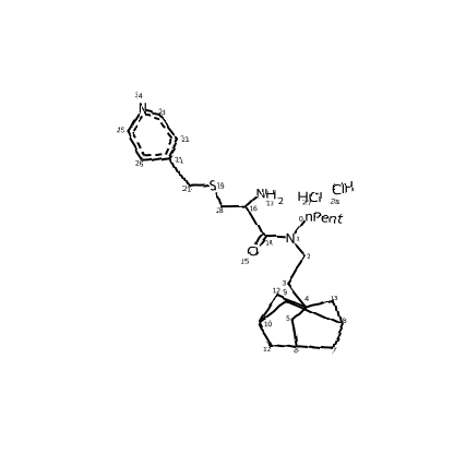 CCCCCN(CCC12CC3CC(CC(C3)C1)C2)C(=O)C(N)CSCc1ccncc1.Cl.Cl